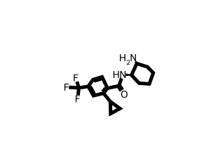 N[C@H]1CCCC[C@H]1NC(=O)c1ccc(C(F)(F)F)cc1C1CC1